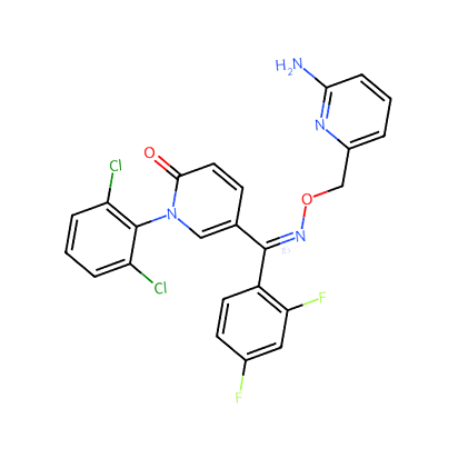 Nc1cccc(CO/N=C(\c2ccc(=O)n(-c3c(Cl)cccc3Cl)c2)c2ccc(F)cc2F)n1